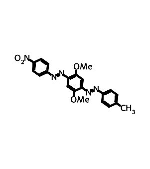 COc1cc(/N=N/c2ccc([N+](=O)[O-])cc2)c(OC)cc1/N=N/c1ccc(C)cc1